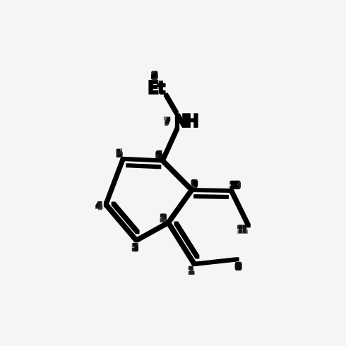 C/C=c1/cccc(NCC)/c1=C/C